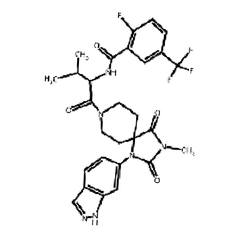 CC(C)C(NC(=O)c1cc(C(F)(F)F)ccc1F)C(=O)N1CCC2(CC1)C(=O)N(C)C(=O)N2c1ccc2cn[nH]c2c1